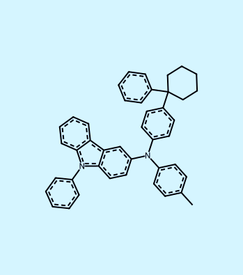 Cc1ccc(N(c2ccc(C3(c4ccccc4)CCCCC3)cc2)c2ccc3c(c2)c2ccccc2n3-c2ccccc2)cc1